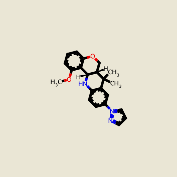 COc1cccc2c1[C@H]1Nc3ccc(-n4cccn4)cc3C(C)(C)[C@H]1CO2